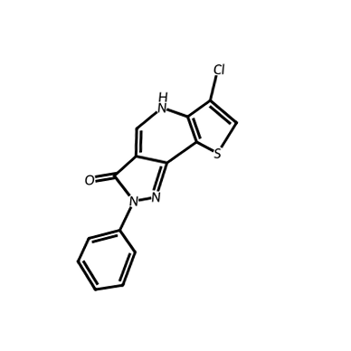 O=c1c2c[nH]c3c(Cl)csc3c-2nn1-c1ccccc1